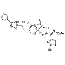 CON=C(C(=O)N[C@@H]1C(=O)N2C(C(=O)O)=C(CSc3nnc(-c4ccsc4)[nH]3)CS[C@@H]12)c1csc(N)n1